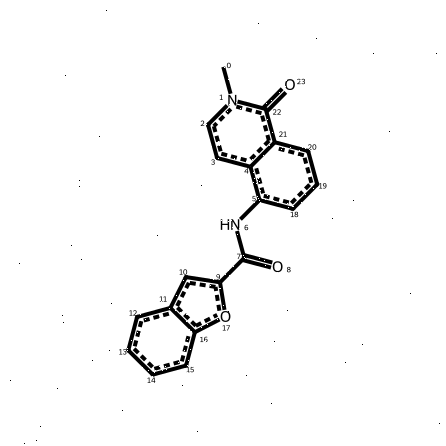 Cn1ccc2c(NC(=O)c3cc4ccccc4o3)cccc2c1=O